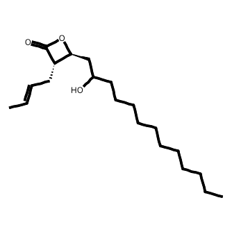 CC=CC[C@@H]1C(=O)O[C@H]1CC(O)CCCCCCCCCCC